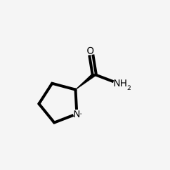 NC(=O)[C@@H]1CCC[N]1